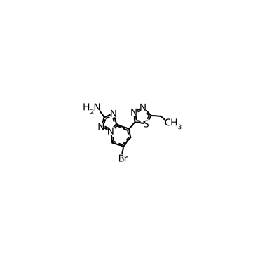 CCc1nnc(-c2cc(Br)cn3nc(N)nc23)s1